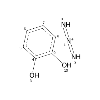 N=[N+]=N.Oc1ccccc1O